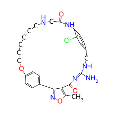 Cc1onc2c1C(=O)/N=C(\N)NCc1ccc(c(Cl)c1)NC(=O)CNCCCCCCOc1ccc-2cc1